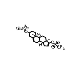 CC(C)(C)[Si](C)(C)O[C@H]1CC[C@@]2(C)C(=CCC3[C@@H]2CC[C@]2(C)C(OS(=O)(=O)C(F)(F)F)=CC[C@@H]32)C1